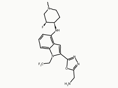 CN1CC[C@@H](Nc2cccc3c2cc(-c2nnc(CN)o2)n3CC(F)(F)F)[C@@H](F)C1